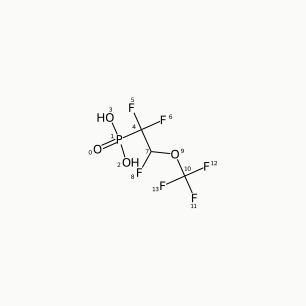 O=P(O)(O)C(F)(F)C(F)OC(F)(F)F